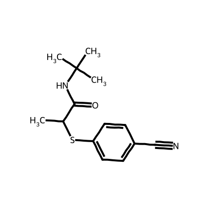 CC(Sc1ccc(C#N)cc1)C(=O)NC(C)(C)C